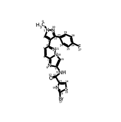 Cn1cc(-c2ccc3nc(NC(=O)c4csc(Br)n4)cn3n2)c(-c2ccc(F)cc2)n1